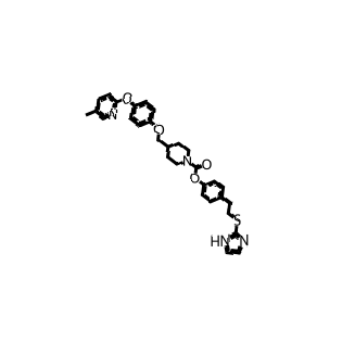 Cc1ccc(Oc2ccc(OCC3CCN(C(=O)Oc4ccc(CCSc5ncc[nH]5)cc4)CC3)cc2)nc1